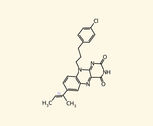 C/C=C(\C)c1ccc2c(c1)nc1c(=O)[nH]c(=O)nc-1n2CCCc1ccc(Cl)cc1